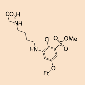 CCOc1cc(NCCCCNCC(=O)O)c(Cl)c(S(=O)(=O)OC)c1